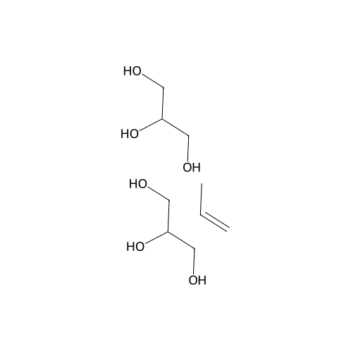 C=CC.OCC(O)CO.OCC(O)CO